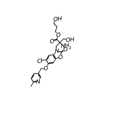 Cc1ccc(COc2cc3oc(=O)n(CC(N)(CO)C(=O)OCCCO)c3cc2Cl)cn1